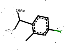 COC(C(=O)O)c1ccc(Cl)cc1C